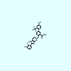 COc1ccc(-c2ccc(CN3Cc4nc(-c5cccc(F)c5F)[nH]c4C=N3)c(C(=O)O)c2)c(C(F)(F)F)c1